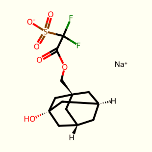 O=C(OC[C@@]12C[C@@H]3C[C@@H](C[C@@](O)(C3)C1)C2)C(F)(F)S(=O)(=O)[O-].[Na+]